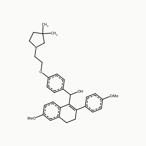 COc1ccc(C2=C(C(O)c3ccc(OCCN4CCC(C)(C)C4)cc3)c3ccc(OC)cc3CC2)cc1